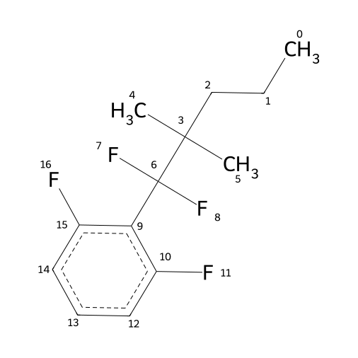 CCCC(C)(C)C(F)(F)c1c(F)cccc1F